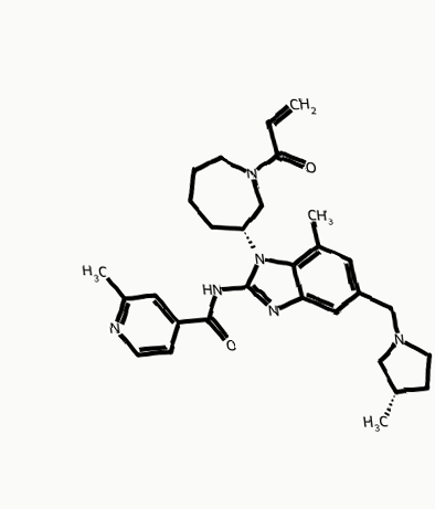 C=CC(=O)N1CCCC[C@@H](n2c(NC(=O)c3ccnc(C)c3)nc3cc(CN4CC[C@H](C)C4)cc(C)c32)C1